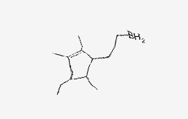 BCCC1C(C)=C(C)C(C)C1C